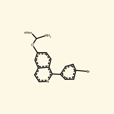 CCCCCCC(N)Oc1ccc2c(-c3ccc(Br)cc3)nccc2c1